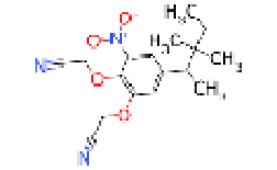 CCC(C)(C)C(C)c1cc(OCC#N)c(OCC#N)c([N+](=O)[O-])c1